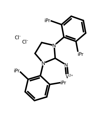 CC(C)c1cccc(C(C)C)c1N1CCN(c2c(C(C)C)cccc2C(C)C)C1[N]=[V+2].[Cl-].[Cl-]